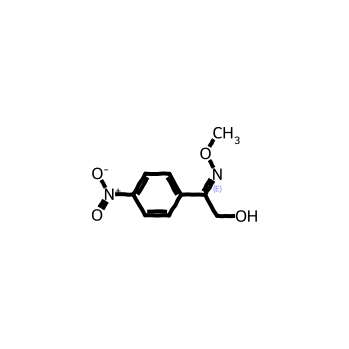 CO/N=C(/CO)c1ccc([N+](=O)[O-])cc1